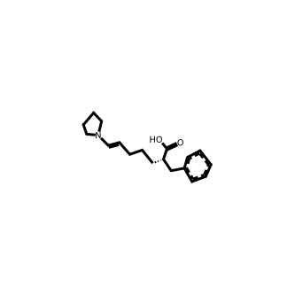 O=C(O)[C@@H](CCC/C=C/N1CCCC1)Cc1ccccc1